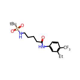 CCc1cc(NC(=O)CCCCNS(=O)(=O)C(C)(C)C)ccc1C(F)(F)F